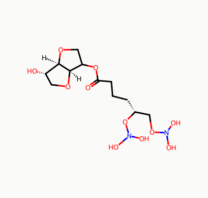 O=C(CCC[C@H](CON(O)O)ON(O)O)OC1CO[C@H]2[C@@H]1OC[C@@H]2O